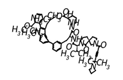 CO[C@@H](C)c1ncccc1-c1c2c3cc(ccc3n1C)-c1cccc(c1)C[C@H](NC(=O)[C@H](C(C)C)N1CC[C@]3(CCN(C(=O)C#CC(C)(C)N4CCC4)C3)C1=O)C(=O)N1CCC[C@H](N1)C(=O)OCC(C)(C)C2